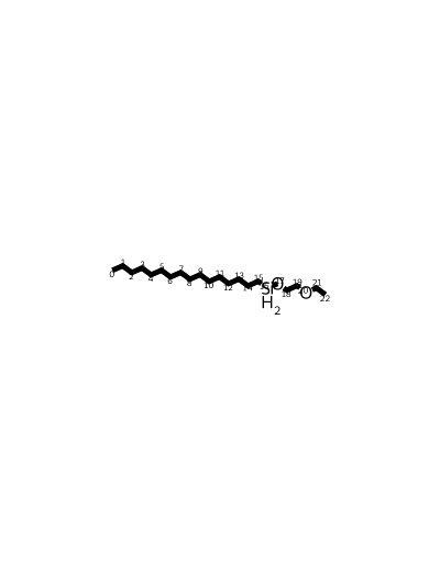 CCCCCCCCCCCCCCCC[SiH2]OCCOCC